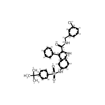 CC(C)(C)c1ccc(S(=O)(=O)Nc2ccc3[nH]c(C(=O)NCc4cccc(Cl)c4)c(-c4ccccc4)c3c2)cc1